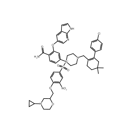 CC1(C)CCC(CN2CC[N+](c3ccc(C(N)=O)c(Oc4cnc5[nH]ccc5c4)c3)(S(=O)(=O)c3ccc(OCC4CN(C5CC5)CCO4)c([N+](=O)[O-])c3)CC2)=C(c2ccc(Cl)cc2)C1